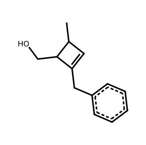 CC1C=C(Cc2ccccc2)C1CO